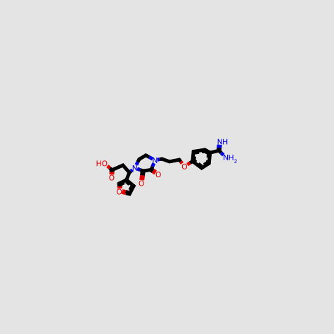 N=C(N)c1ccc(OCCCN2CCN(C(CC(=O)O)c3ccoc3)C(=O)C2=O)cc1